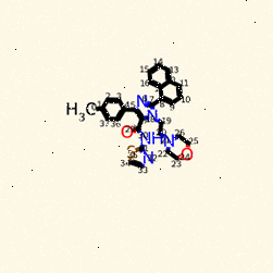 Cc1ccc(-c2nc(-c3cccc4ccccc34)n(CCN3CCOCC3)c2C(=O)Nc2nccs2)cc1